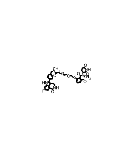 CN(Cc1ccc(-c2[nH]c3cc(F)cc4c3c2CCNC4=O)cc1)C(=O)CCOCCOCCSc1cccc(C=O)c1C(=O)N(C)C1CCC(=O)NC1=O